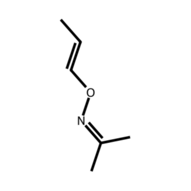 CC=CON=C(C)C